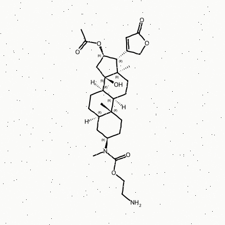 CC(=O)O[C@@H]1C[C@@]2(O)[C@@H]3CC[C@@H]4C[C@H](N(C)C(=O)OCCN)CC[C@@]4(C)[C@@H]3CC[C@]2(C)[C@H]1C1=CC(=O)OC1